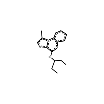 CCC(CC)Nc1nc2ccccc2n2c(C)cnc12